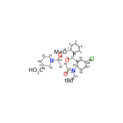 COc1ccccc1[C@@H]1O[C@@H](CC(=O)N2CCCC(C(=O)O)C2)C(=O)N(CC(C)(C)C)c2ccc(Cl)cc21